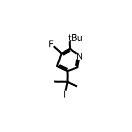 CC(C)(C)c1ncc(C(C)(C)I)cc1F